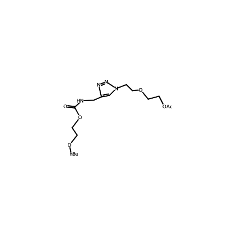 CCCCOCCOC(=O)NCc1cn(CCOCCOC(C)=O)nn1